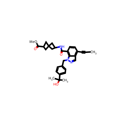 CC#Cc1ccc(C(=O)NC2CC3(C2)CC(C(=O)OC)C3)c2c1cnn2Cc1ccc(C(C)(C)O)cc1